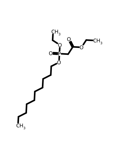 CCCCCCCCCCOP(=O)(CC(=O)OCC)OCC